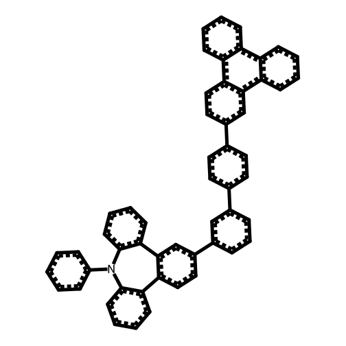 c1ccc(N2c3ccccc3-c3ccc(-c4cccc(-c5ccc(-c6ccc7c8ccccc8c8ccccc8c7c6)cc5)c4)cc3-c3ccccc32)cc1